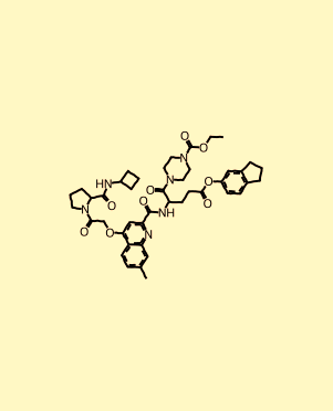 CCOC(=O)N1CCN(C(=O)C(CCC(=O)Oc2ccc3c(c2)CCC3)NC(=O)c2cc(OCC(=O)N3CCCC3C(=O)NC3CCC3)c3ccc(C)cc3n2)CC1